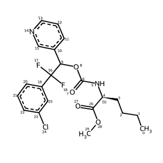 CCCC[C@H](NC(=O)OC(c1cccnc1)C(F)(F)c1cccc(Cl)c1)C(=O)OC